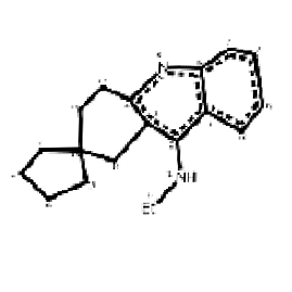 CCNc1c2c(nc3ccccc13)CCC1(CCCC1)C2